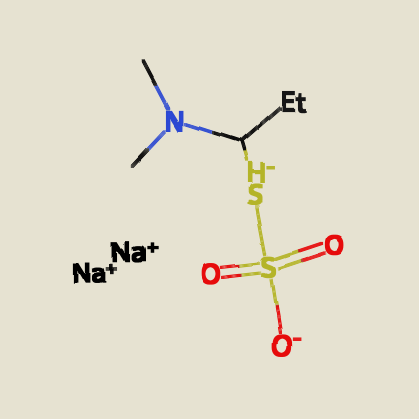 CCC([SH-]S(=O)(=O)[O-])N(C)C.[Na+].[Na+]